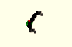 CCCc1ccc(C(F)C(F)(F)OCc2ccc(C3CCC(CCC)CC3)cc2)c(F)c1